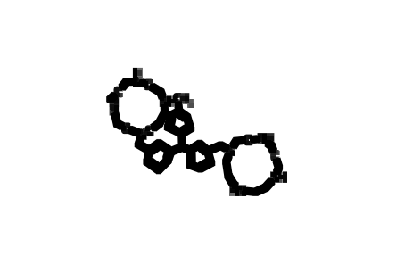 Cc1ccc(C(c2cccc(CN3CCCNCCNCCCNCC3)c2)c2cccc(CN3CCCNCCNCCCNCC3)c2)cc1